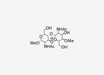 CO[C@@H]1OC(CO)[C@H](O[C@H]2OC(CO)[C@H](OC)[C@H](O)C2NC(C)=O)[C@@H](O)C1NC(C)=O